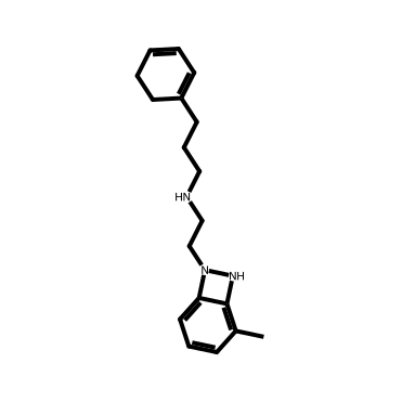 Cc1cccc2c1[nH]n2CCNCCCC1=CC=CCC1